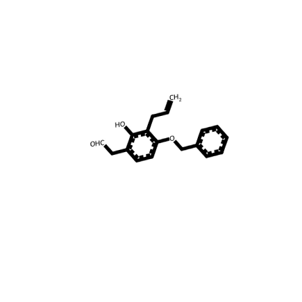 C=CCc1c(OCc2ccccc2)ccc(CC=O)c1O